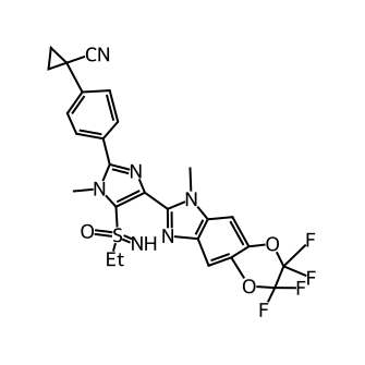 CCS(=N)(=O)c1c(-c2nc3cc4c(cc3n2C)OC(F)(F)C(F)(F)O4)nc(-c2ccc(C3(C#N)CC3)cc2)n1C